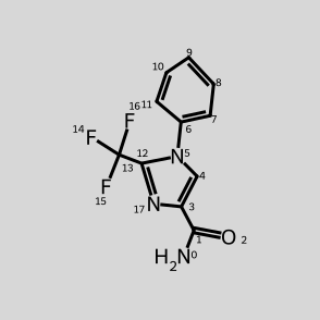 NC(=O)c1cn(-c2ccccc2)c(C(F)(F)F)n1